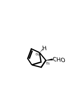 O=C[C@H]1CC2C=C[C@@H]1C2